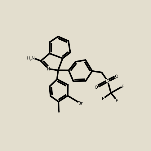 NC1=NC(c2ccc(CS(=O)(=O)C(F)(F)F)cc2)(c2ccc(F)c(Br)c2)c2ccccc21